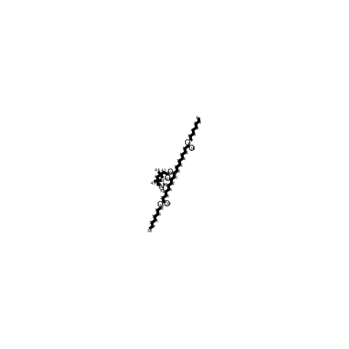 CCCCCCCCOC(=O)CCCCCCCCC(CCCCCCCCC(=O)OCCCCCCCC)OC(=O)CC(C)(C)CC(C)(C)CN(C)C